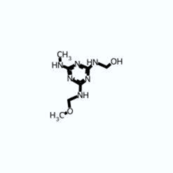 CNc1nc(NCO)nc(NCOC)n1